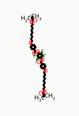 C=C(C)C(=O)OCCCCCCCCCOc1ccc(C(=O)Oc2c(F)c(F)c(OC(=O)c3ccc(OCCCCCCCCCOC(=O)C(=C)C)cc3)c(F)c2F)cc1